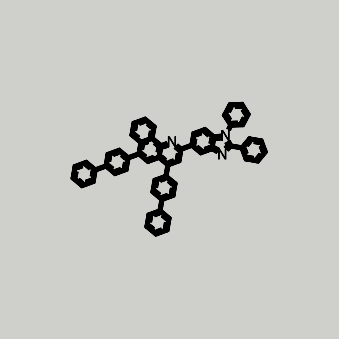 c1ccc(-c2ccc(-c3cc4c(-c5ccc(-c6ccccc6)cc5)cc(-c5ccc6c(c5)nc(-c5ccccc5)n6-c5ccccc5)nc4c4ccccc34)cc2)cc1